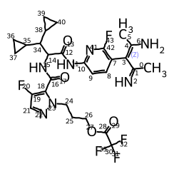 CC(=N)/C(=C(/C)N)c1ccc(NC(=O)C(NC(=O)c2c(F)cnn2CCCOC(=O)C(F)(F)F)C(C2CC2)C2CC2)nc1F